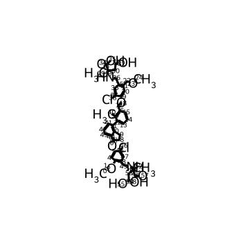 CCOc1cc(O[C@H]2CCc3c(-c4cccc(COc5cc(COC)c(CNC(C)(CCO)C(=O)O)cc5Cl)c4C)cccc32)c(Cl)cc1CN[C@@](C)(CCO)C(=O)O